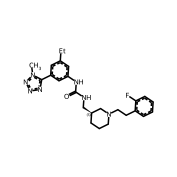 CCc1cc(NC(=O)NC[C@@H]2CCCN(CCc3ccccc3F)C2)cc(-c2nnnn2C)c1